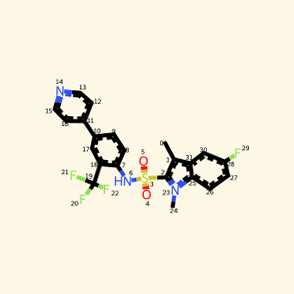 Cc1c(S(=O)(=O)Nc2ccc(-c3ccncc3)cc2C(F)(F)F)n(C)c2ccc(F)cc12